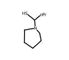 CCCC(S)N1CCCCC1